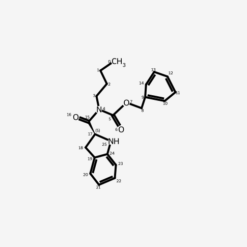 CCCCN(C(=O)OCc1ccccc1)C(=O)[C@@H]1Cc2ccccc2N1